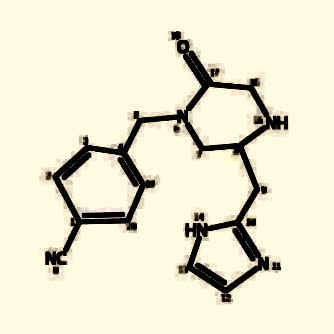 N#Cc1ccc(CN2CC(Cc3ncc[nH]3)NCC2=O)cc1